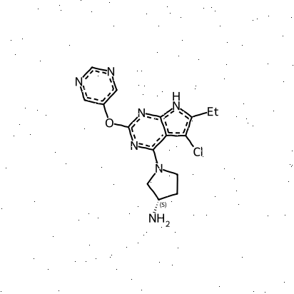 CCc1[nH]c2nc(Oc3cncnc3)nc(N3CC[C@H](N)C3)c2c1Cl